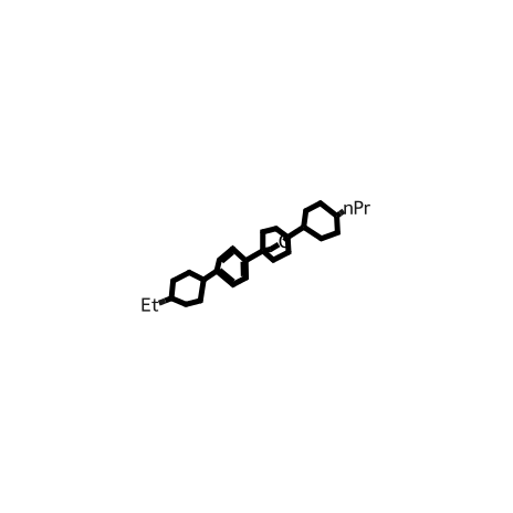 CCCC1CCC(C23CCC(c4ccc(C5CCC(CC)CC5)cc4)(CC2)CC3)CC1